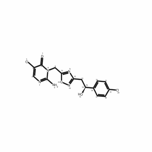 Nc1ncc(Cl)c(=O)n1Cc1nc(C[C@H](O)c2ccc(Cl)cc2)no1